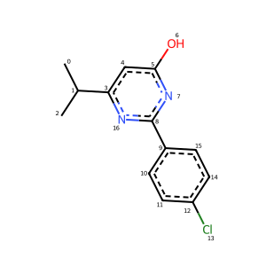 CC(C)c1cc(O)nc(-c2ccc(Cl)cc2)n1